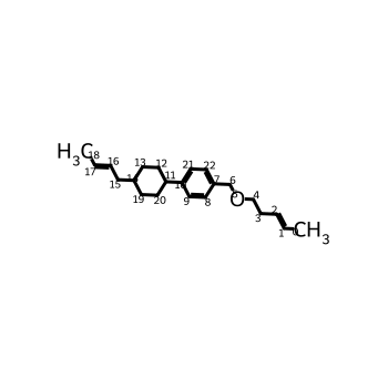 CC=CCCOCc1ccc(C2CCC(C/C=C/C)CC2)cc1